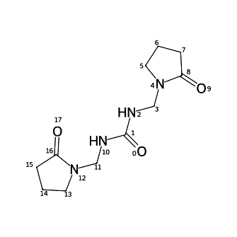 O=C(NCN1CCCC1=O)NCN1CCCC1=O